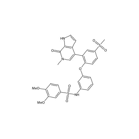 COc1ccc(S(=O)(=O)Nc2cccc(Oc3ccc(S(C)(=O)=O)cc3-c3cn(C)c(=O)c4[nH]ccc34)c2)cc1OC